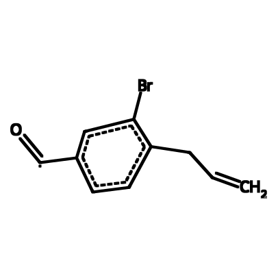 C=CCc1ccc([C]=O)cc1Br